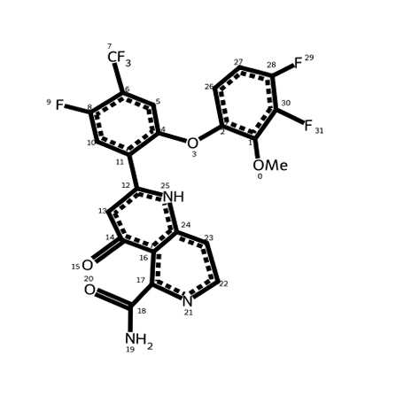 COc1c(Oc2cc(C(F)(F)F)c(F)cc2-c2cc(=O)c3c(C(N)=O)nccc3[nH]2)ccc(F)c1F